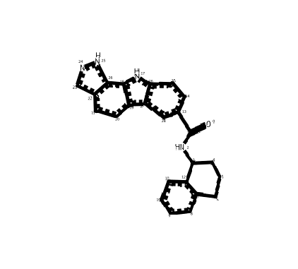 O=C(NC1CCCc2ccccc21)c1ccc2[nH]c3c(ccc4cn[nH]c43)c2c1